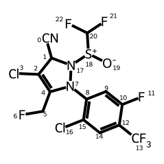 N#CC1C(Cl)=C(CF)N(c2cc(F)c(C(F)(F)F)cc2Cl)N1[S+]([O-])C(F)F